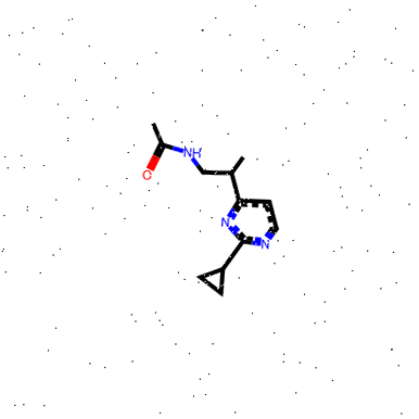 CC(=O)NCC(C)c1ccnc(C2CC2)n1